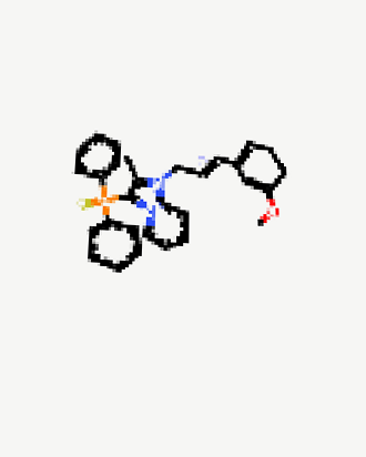 COC1=CC(/C=C/Cn2c(C)c(P(=S)(c3ccccc3)c3ccccc3)[n+]3ccccc23)=CCC1